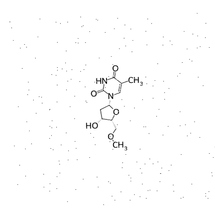 COC[C@H]1O[C@@H](n2cc(C)c(=O)[nH]c2=O)C[C@H]1O